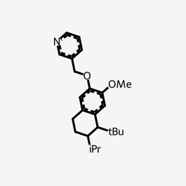 COc1cc2c(cc1OCc1cccnc1)CCC(C(C)C)C2C(C)(C)C